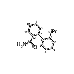 CC(C)c1ccccc1-c1cc[c]cc1C(N)=O